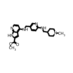 COC(=O)c1cc2c(NCc3ccc(NCC4CCN(C)CC4)nc3)ccnc2[nH]1